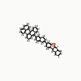 c1ccc2cc3c(cc2c1)oc1cc(-c2ccc4cc(-c5c6ccccc6c(-c6cccc7ccccc67)c6ccccc56)ccc4c2)ccc13